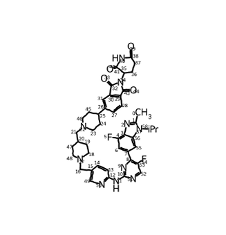 Cc1nc2c(F)cc(-c3nc(Nc4ccc(CN5CCC(CN6CCC(c7ccc8c(c7)C(=O)N(C7CCC(=O)NC7=O)C8=O)CC6)CC5)cn4)ncc3F)cc2n1C(C)C